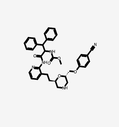 COC(=O)NC(C(=O)Nc1ncccc1CC[C@@H]1CNC[C@@H](COc2ccc(C#N)cc2)O1)C(c1ccccc1)c1ccccc1